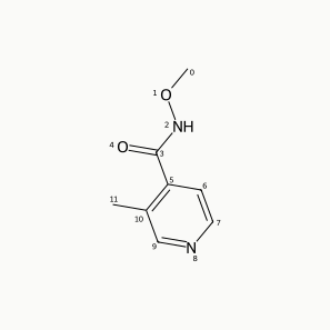 CONC(=O)c1ccncc1C